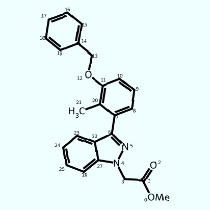 COC(=O)Cn1nc(-c2cccc(OCc3ccccc3)c2C)c2ccccc21